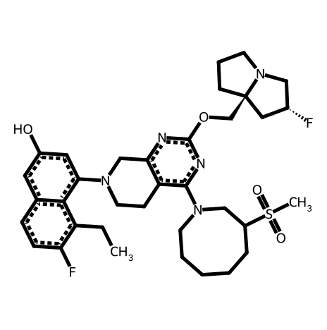 CCc1c(F)ccc2cc(O)cc(N3CCc4c(nc(OC[C@@]56CCCN5C[C@H](F)C6)nc4N4CCCCCC(S(C)(=O)=O)C4)C3)c12